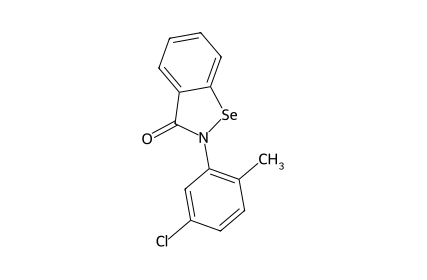 Cc1ccc(Cl)cc1-n1[se]c2ccccc2c1=O